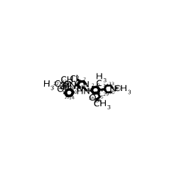 Cc1cc(Nc2ncc(Cl)c(Nc3ccccc3S(=O)(=O)C(C)C)n2)c2c(c1C1CCN(C)CC1)C[C@@H](C)O2